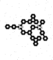 c1ccc(-c2ccc(-c3nc(-c4ccccc4)nc(-c4cccc(-c5cc(-c6cccc(-c7nc(-c8ccc(-c9ccccc9)cc8)nc(-c8cccc(-c9ccc%10c%11ccccc%11c%11ccccc%11c%10c9)c8)n7)c6)cc(-c6ccc7c8ccccc8c8ccccc8c7c6)c5)c4)n3)cc2)cc1